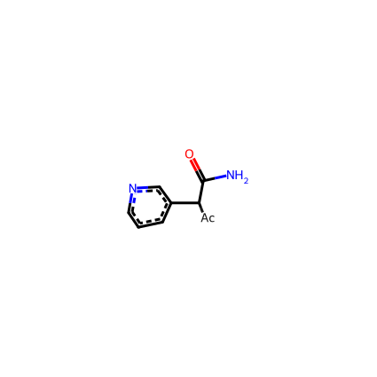 CC(=O)C(C(N)=O)c1cccnc1